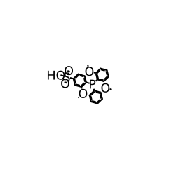 COc1ccccc1P(c1ccccc1OC)c1ccc(S(=O)(=O)O)cc1OC